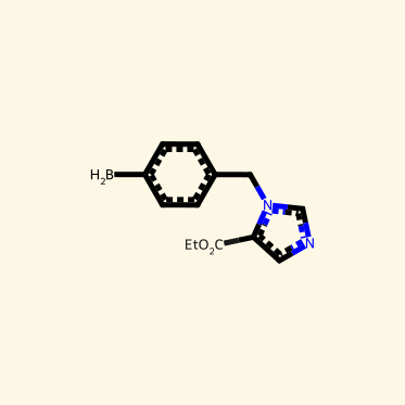 Bc1ccc(Cn2cncc2C(=O)OCC)cc1